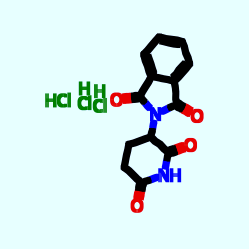 Cl.Cl.Cl.O=C1CCC(N2C(=O)c3ccccc3C2=O)C(=O)N1